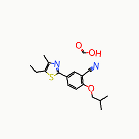 CCc1sc(-c2ccc(OCC(C)C)c(C#N)c2)nc1C.O=CO